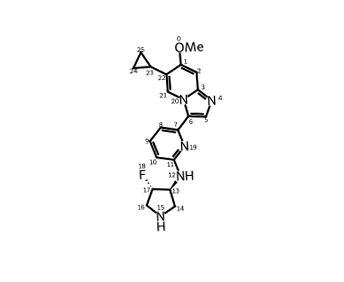 COc1cc2ncc(-c3cccc(N[C@H]4CNC[C@@H]4F)n3)n2cc1C1CC1